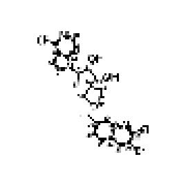 O[C@H]1[C@H](n2ccc3c(Cl)ncnc32)C[C@@]2(CO[C@H](Cc3ccc4cc(Br)c(Cl)nc4c3)C2)[C@H]1O